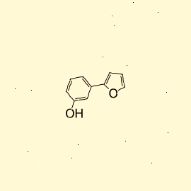 Oc1cccc(-c2ccco2)c1